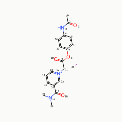 CC(=O)Nc1ccc(OC(=O)C[n+]2cccc(C(=O)N(C)C)c2)cc1.[I-]